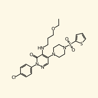 CCOCCCNc1c(N2CCN(S(=O)(=O)c3cccs3)CC2)cnn(-c2ccc(Cl)cc2)c1=O